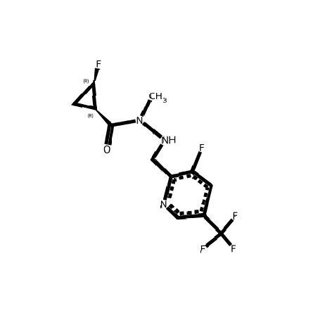 CN(NCc1ncc(C(F)(F)F)cc1F)C(=O)[C@H]1C[C@H]1F